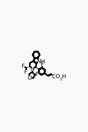 O=C(O)/C=C/c1cc(F)c([C@@H]2c3[nH]c4ccccc4c3C[C@@H](C(F)F)N2C2CCOC2)c(F)c1